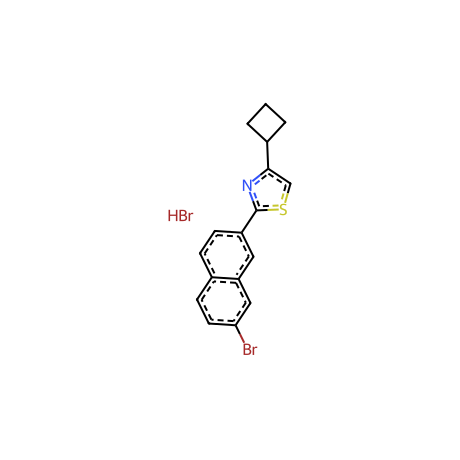 Br.Brc1ccc2ccc(-c3nc(C4CCC4)cs3)cc2c1